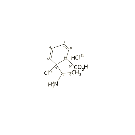 CC(N)C1(Cl)C=CC=CC1C(=O)O.Cl